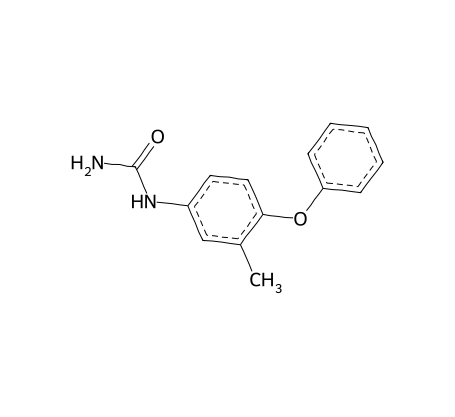 Cc1cc(NC(N)=O)ccc1Oc1ccccc1